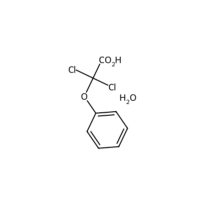 O.O=C(O)C(Cl)(Cl)Oc1ccccc1